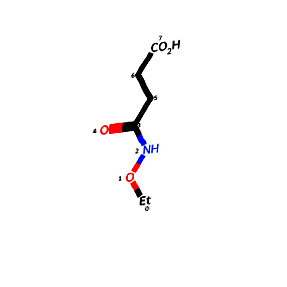 CCONC(=O)CCC(=O)O